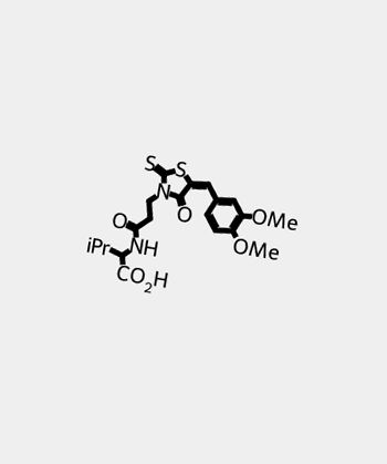 COc1ccc(/C=C2/SC(=S)N(CCC(=O)NC(C(=O)O)C(C)C)C2=O)cc1OC